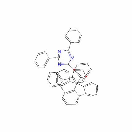 c1ccc(-c2nc(-c3ccccc3)nc(-c3ccccc3-c3ccccc3-c3cccc4c3C(c3ccccc3)(c3ccccc3)c3ccccc3-4)n2)cc1